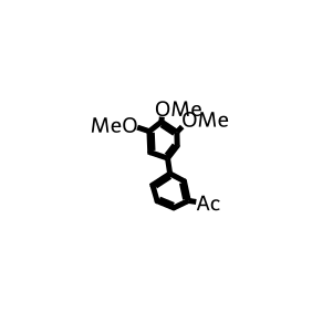 COc1cc(-c2cccc(C(C)=O)c2)cc(OC)c1OC